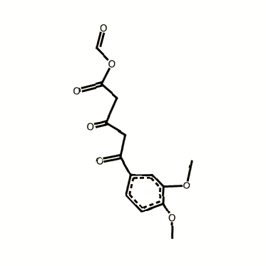 COc1ccc(C(=O)CC(=O)CC(=O)OC=O)cc1OC